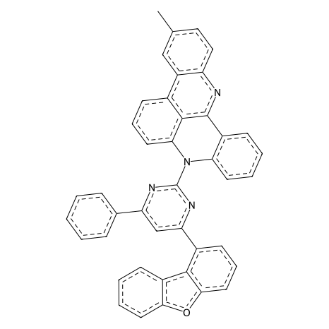 Cc1ccc2nc3c4c(cccc4c2c1)N(c1nc(-c2ccccc2)cc(-c2cccc4oc5ccccc5c24)n1)c1ccccc1-3